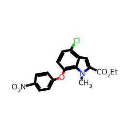 CCOC(=O)c1cc2c(Cl)ccc(Oc3ccc([N+](=O)[O-])cc3)c2n1C